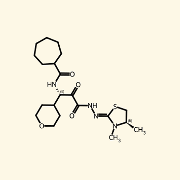 C[C@@H]1CSC(=NNC(=O)C(=O)[C@@H](NC(=O)C2CCCCCC2)C2CCOCC2)N1C